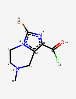 CN1CCn2c(Br)nc(C(=O)Cl)c2C1